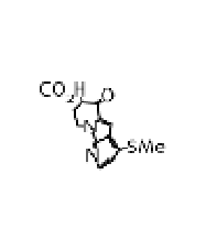 CSc1ccnc2c1cc1n2CCC(C(=O)O)C1=O